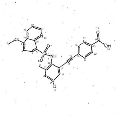 COc1ccc(S(=O)(=O)Nc2c(C)cc(Cl)cc2C#Cc2ccc(C(=O)O)nc2)c2ncccc12